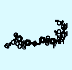 CCOC(C)n1cc(-c2ncn3nc(Nc4ccc(S(=O)(=O)c5cccc(CC6CC(c7ccc8c(c7)n(C)c(=O)n8[C@H]7CCC(=O)N(COCC[Si](C)(C)C)C7=O)C6)c5)cc4F)nc3c2OC(C)C)cn1